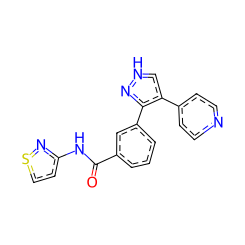 O=C(Nc1ccsn1)c1cccc(-c2n[nH]cc2-c2ccncc2)c1